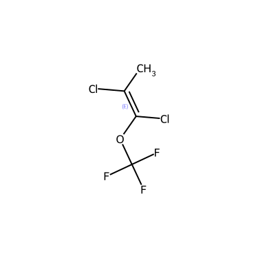 C/C(Cl)=C(\Cl)OC(F)(F)F